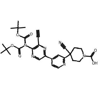 C#Cc1nc(-c2ccnc(C3(C#N)CCN(C(=O)O)CC3)c2)cnc1N(C(=O)OC(C)(C)C)C(=O)OC(C)(C)C